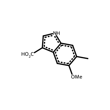 COc1cc2c(C(=O)O)c[nH]c2cc1C